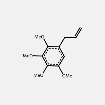 C=CCc1cc(OC)c(OC)c(OC)c1OC